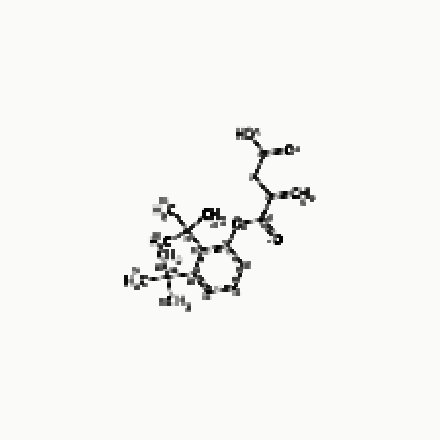 C=C(CC(=O)O)C(=O)Oc1cccc(C(C)(C)C)c1C(C)(C)C